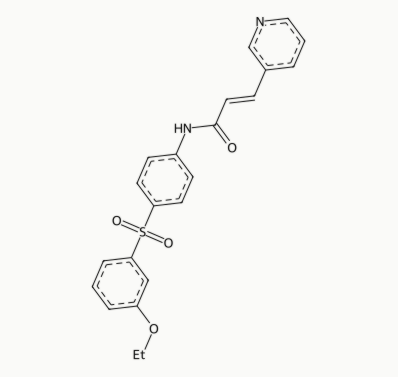 CCOc1cccc(S(=O)(=O)c2ccc(NC(=O)C=Cc3cccnc3)cc2)c1